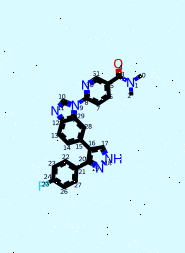 CN(C)C(=O)c1ccc(-n2cnc3ccc(-c4c[nH]nc4-c4ccc(F)cc4)cc32)nc1